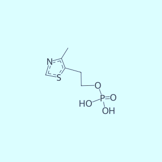 Cc1ncsc1CCOP(=O)(O)O